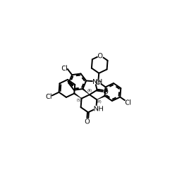 O=C1C[C@@H](C2C=CC=C(Cl)C2)[C@]2(C(=O)Nc3cc(Cl)ccc32)[C@@H](c2cc(Cl)ccc2OC2CCOCC2)N1